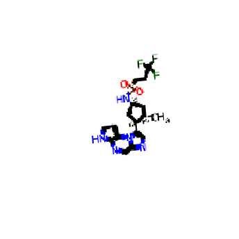 C[C@H]1C[C@@H](NS(=O)(=O)CCC(F)(F)F)C[C@@H]1c1cnc2cnc3[nH]ccc3n12